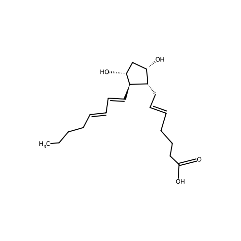 CCCCC=CC=C[C@@H]1[C@@H](CC=CCCCC(=O)O)[C@@H](O)C[C@H]1O